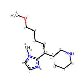 COCCCC[C@H](c1nccn1C)[C@H]1CCCNC1